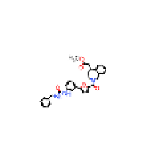 COC(=O)CC1CCN(C(=O)c2ccc(-c3cccc(NC(=O)NCc4ccccc4)c3)o2)Cc2ccccc21